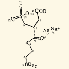 CCCCCCCCCCCCOC(=O)C(CC(=O)[O-])CS(=O)(=O)[O-].[Na+].[Na+]